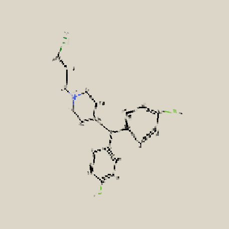 Fc1ccc(C(c2ccc(F)cc2)C2CCN(CCCCl)CC2)cc1